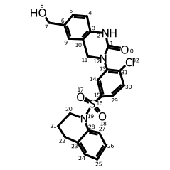 O=C1Nc2ccc(CO)cc2CN1c1cc(S(=O)(=O)N2CCCc3ccccc32)ccc1Cl